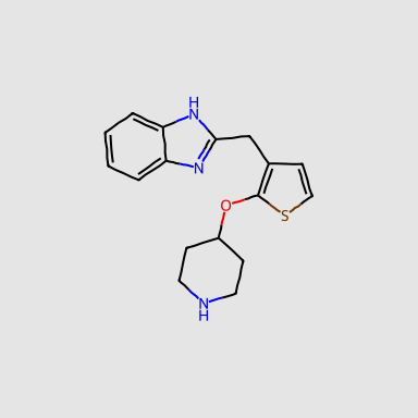 c1ccc2[nH]c(Cc3ccsc3OC3CCNCC3)nc2c1